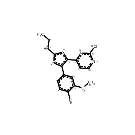 CCNc1nc(-c2ccc(Cl)c(OC)c2)c(-c2ccnc(Cl)n2)s1